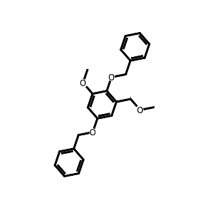 CO[CH]c1cc(OCc2ccccc2)cc(OC)c1OCc1ccccc1